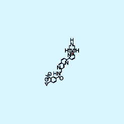 CS(=O)(=O)c1cc(C(=O)NCc2cc3nc(-c4cccc(N5[C@@H]6CNC[C@H]5COC6)n4)ccc3cn2)ccc1C1CC1